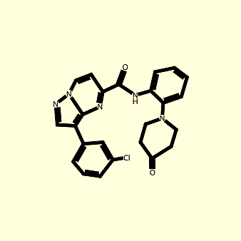 O=C1CCN(c2ccccc2NC(=O)c2ccn3ncc(-c4cccc(Cl)c4)c3n2)CC1